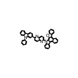 c1ccc(-n2c3ccccc3c3ccc(-c4ccc5nc(-n6c7ccccc7c7c8ccccc8c8c9ccccc9oc8c76)ccc5n4)cc32)cc1